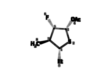 CC[C@H]1S[C@@H](OC(C)=O)[C@@H](F)[C@@H]1C